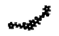 C[C@H](C(=O)OCO/N=[N+](\[O-])N1CCCC1)c1ccc2cc(OC(=O)CCCC[C@@H]3CCSS3)ccc2c1